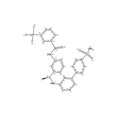 C[C@H](Nc1cncc(-c2ccc(S(N)(=O)=O)cc2)n1)c1cccc(NC(=O)c2cccc(C(F)(F)F)c2)c1